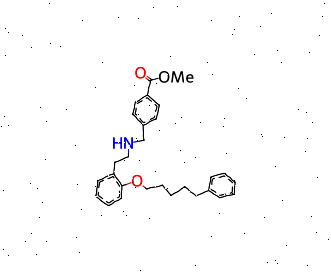 COC(=O)c1ccc(CNCCc2ccccc2OCCCCCc2ccccc2)cc1